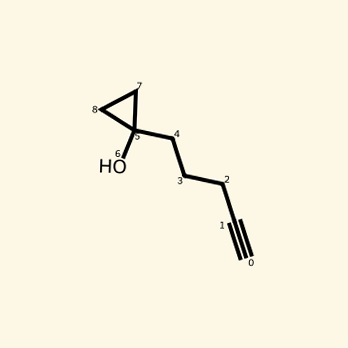 C#CCCCC1(O)CC1